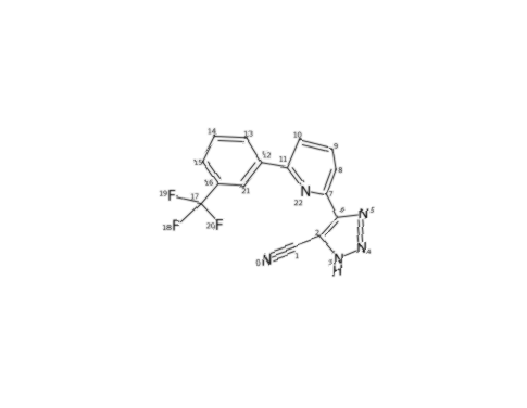 N#Cc1[nH]nnc1-c1cccc(-c2cccc(C(F)(F)F)c2)n1